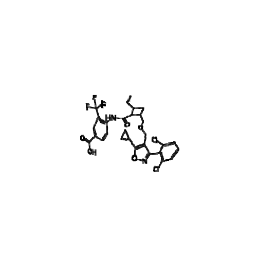 CCC1CC(COCc2c(-c3c(Cl)cccc3Cl)noc2C2CC2)C1C(=O)Nc1ccc(C(=O)O)cc1C(F)(F)F